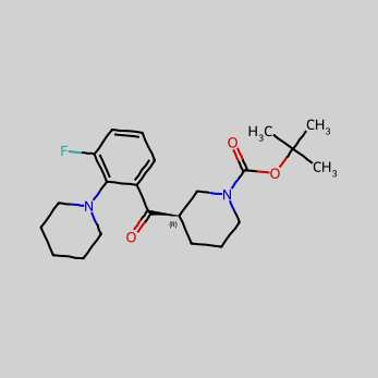 CC(C)(C)OC(=O)N1CCC[C@@H](C(=O)c2cccc(F)c2N2CCCCC2)C1